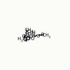 COCCOCCNC(=O)O[C@@H]1CC[C@]2(CO2)C(C2(C)O[C@@H]2/C=C/C(C)C)[C@@H]1OC